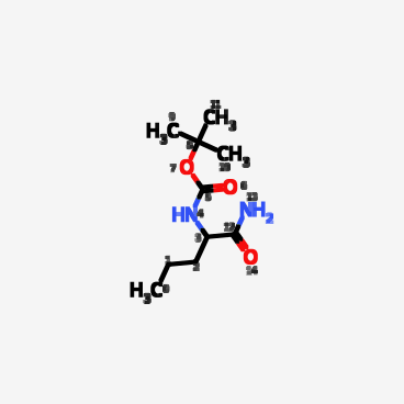 CCCC(NC(=O)OC(C)(C)C)C(N)=O